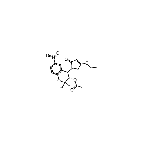 CCOC1=CC(=O)N([C@@H]2c3cc([N+](=O)[O-])ccc3OC(C)(CC)[C@H]2OC(C)=O)C1